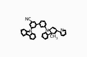 CC12C=C(c3ccccn3)C=CC1N(c1cccc(-c3cc(C#N)cc(-n4c5ccccc5c5ccccc54)c3)c1)c1ccccc12